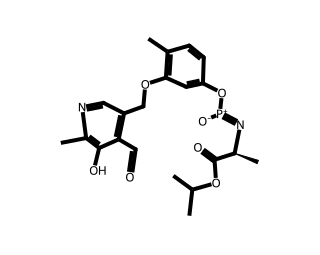 Cc1ccc(O[P+]([O-])=N[C@@H](C)C(=O)OC(C)C)cc1OCc1cnc(C)c(O)c1C=O